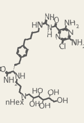 CCCCCCN(CCCN[C@@H](CCc1ccc(CCCCNC(=N)NC(=O)c2nc(Cl)c(N)nc2N)cc1)C(N)=O)C[C@H](O)[C@@H](O)[C@H](O)[C@H](O)CO